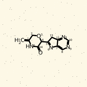 C=C1COC(C2=Nc3cncnc3C2)C(=O)N1